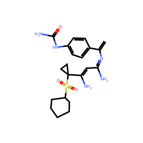 C=C(/N=C(N)\C=C(/N)C1(S(=O)(=O)C2CCCCC2)CC1)c1ccc(NC(N)=O)cc1